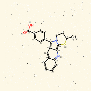 CC1CCn2c(-c3ccc(C(=O)O)cc3)c3cc4ccccc4nc3c2S1